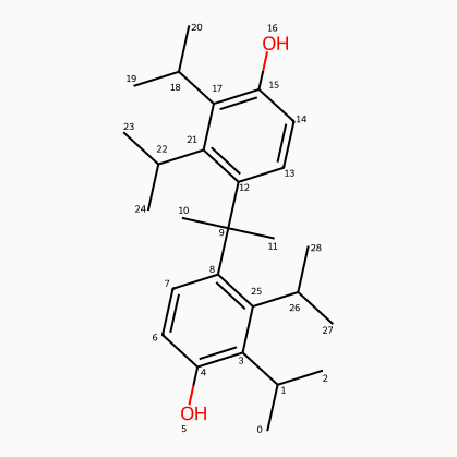 CC(C)c1c(O)ccc(C(C)(C)c2ccc(O)c(C(C)C)c2C(C)C)c1C(C)C